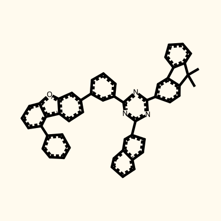 CC1(C)c2ccccc2-c2cc(-c3nc(-c4cccc(-c5ccc6c(c5)oc5cccc(-c7ccccc7)c56)c4)nc(-c4ccc5ccccc5c4)n3)ccc21